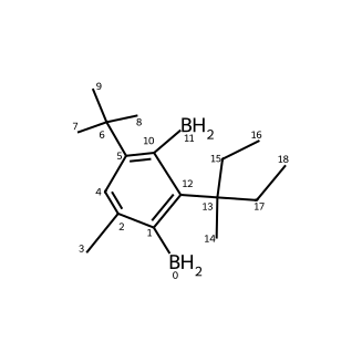 Bc1c(C)cc(C(C)(C)C)c(B)c1C(C)(CC)CC